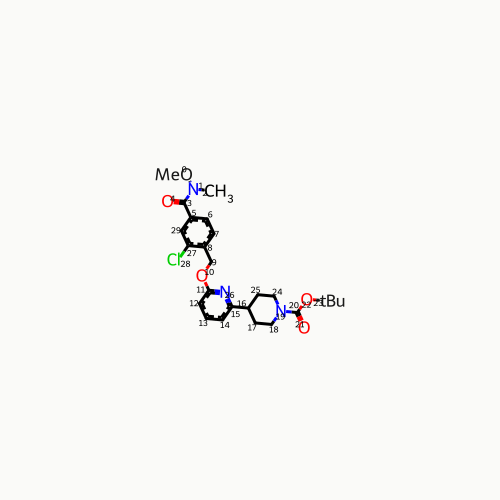 CON(C)C(=O)c1ccc(COc2cccc(C3CCN(C(=O)OC(C)(C)C)CC3)n2)c(Cl)c1